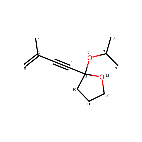 C=C(C)C#CC1(OC(C)C)CCCO1